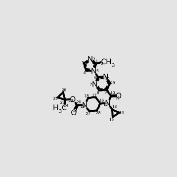 Cc1nccn1-c1ncc(C(=O)N(C2CC2)C2CCN(C(=O)OC3(C)CC3)CC2)cn1